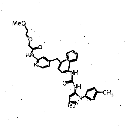 COCCOCC(=O)Nc1cc(Cc2ccc(NC(=O)Nc3cc(C(C)(C)C)nn3-c3ccc(C)cc3)c3ccccc23)ccn1